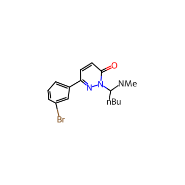 CCCCC(NC)n1nc(-c2cccc(Br)c2)ccc1=O